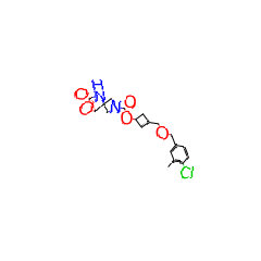 Cc1cc(COCC2CC(OC(=O)N3CC4(COC(=O)N4)C3)C2)ccc1Cl